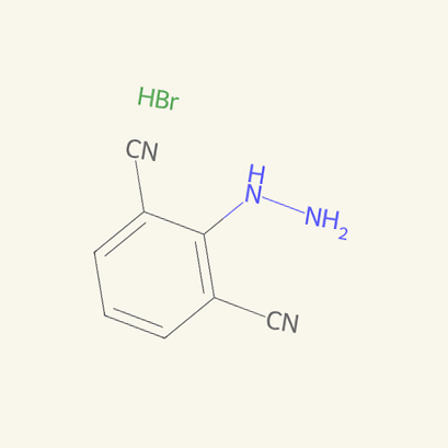 Br.N#Cc1cccc(C#N)c1NN